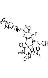 CC1CN2c3c(cc4c(NCc5cnn(C)c5)noc4c3F)CC3(C(=O)NC(=O)NC3=O)C2C(C)O1